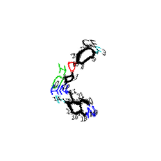 Cl.Fc1ccc(OC2CC(NCc3c(F)ccc4cnccc34)C2)cc1C(F)(F)F